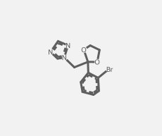 Brc1ccccc1C1(Cn2cncn2)OCCO1